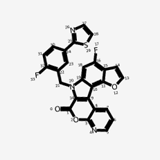 O=c1oc2ncccc2c2c3c4occc4c(F)cc3n(Cc3cc(-c4nccs4)ccc3F)c12